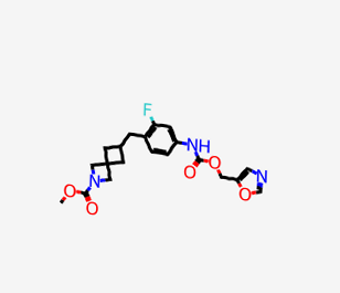 COC(=O)N1CC2(CC(Cc3ccc(NC(=O)OCc4cnco4)cc3F)C2)C1